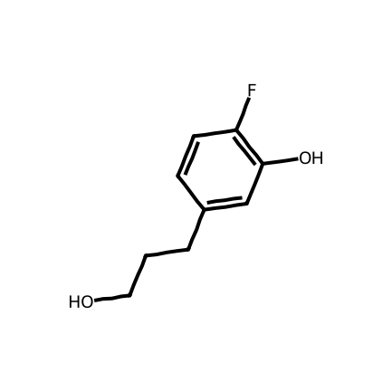 OCCCc1ccc(F)c(O)c1